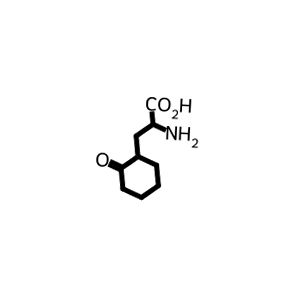 NC(CC1CCCCC1=O)C(=O)O